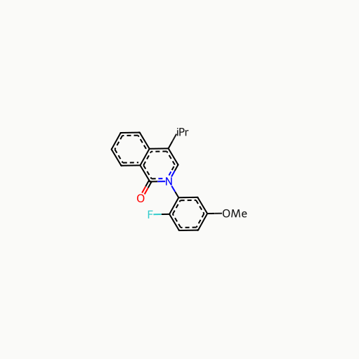 COc1ccc(F)c(-n2cc(C(C)C)c3ccccc3c2=O)c1